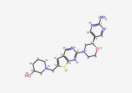 Nc1ncc([C@@H]2CN(c3ncc4cc(CN5CCCC(O)C5)sc4n3)CCO2)cn1